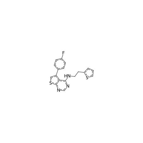 Fc1ccc(-c2csc3ncnc(NCCc4cccs4)c23)cc1